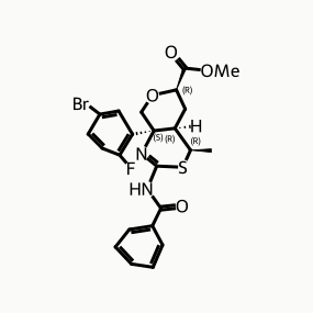 COC(=O)[C@H]1C[C@H]2[C@@H](C)SC(NC(=O)c3ccccc3)=N[C@@]2(c2cc(Br)ccc2F)CO1